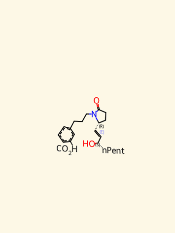 CCCCC[C@H](O)/C=C/[C@H]1CCC(=O)N1CCCc1cccc(C(=O)O)c1